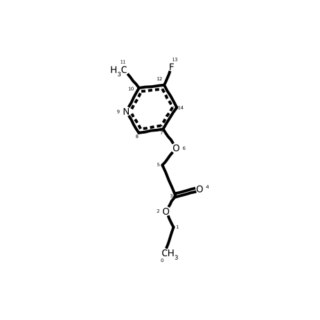 CCOC(=O)COc1cnc(C)c(F)c1